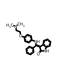 CN(C)CCOc1ccc(NC(=C2C(=O)Nc3ccccc32)c2ccccc2)cc1